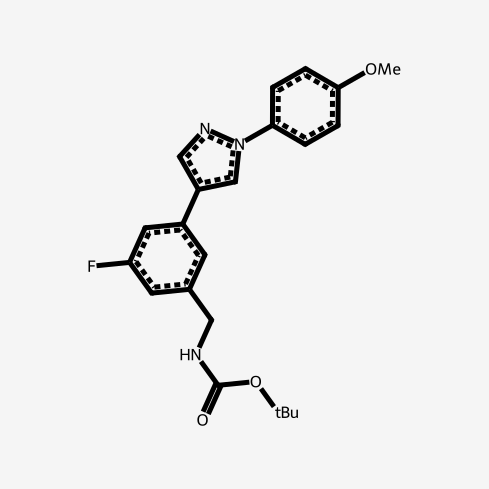 COc1ccc(-n2cc(-c3cc(F)cc(CNC(=O)OC(C)(C)C)c3)cn2)cc1